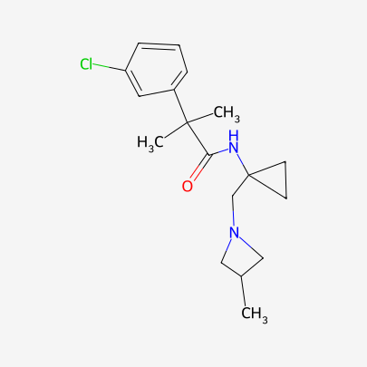 CC1CN(CC2(NC(=O)C(C)(C)c3cccc(Cl)c3)CC2)C1